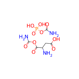 NC(=O)OC(=O)C(N)CC(=O)O.NC(=O)OP(=O)(O)O